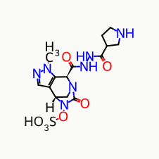 Cn1ncc2c1[C@@H](C(=O)NNC(=O)C1CCNC1)N1C[C@@H]2N(OS(=O)(=O)O)C1=O